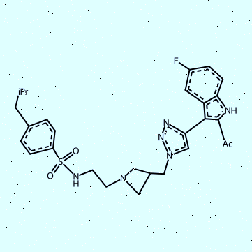 CC(=O)c1[nH]c2ccc(F)cc2c1-c1cn(CC2CN(CCNS(=O)(=O)c3ccc(CC(C)C)cc3)C2)nn1